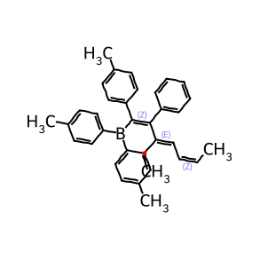 C\C=C/C=C(CC)/C(=C(\B(c1ccc(C)cc1)c1ccc(C)cc1)c1ccc(C)cc1)c1ccccc1